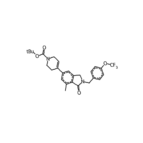 Cc1cc(C2=CCN(C(=O)OC(C)(C)C)CC2)cc2c1C(=O)N(Cc1ccc(OC(F)(F)F)cc1)C2